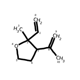 C=CC1(C)OCCC1C(=C)C